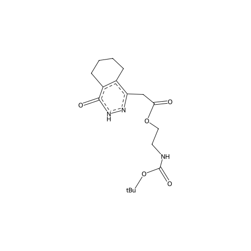 CC(C)(C)OC(=O)NCCOC(=O)Cc1n[nH]c(=O)c2c1CCCC2